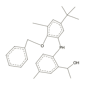 Cc1ccc(Pc2cc(C(C)(C)C)cc(C)c2OCc2ccccc2)c(C(C)O)c1